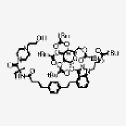 CC(C)(C)C(=O)OCCn1nc(O[C@@H]2O[C@H](COC(=O)C(C)(C)C)[C@@H](OC(=O)C(C)(C)C)[C@H](OC(=O)C(C)(C)C)[C@H]2OC(=O)C(C)(C)C)c2c(CCc3ccc(CCCC(=O)NC(C)(C)C(=O)N4CCN(CCO)CC4)cc3)cccc21